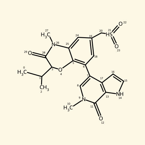 CC(C)C1Oc2c(-c3cn(C)c(=O)c4[nH]ccc34)cc(C[SH](=O)=O)cc2N(C)C1=O